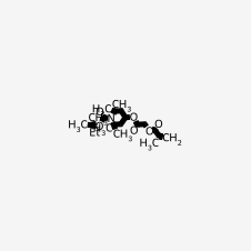 C=C(C)C(=O)OCC(=O)OC1CC(C)(C)N(C(=O)OC(C)(C)CC)C(C)(C)C1